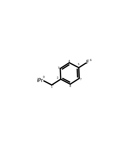 CC(C)[CH]c1ccc(F)cc1